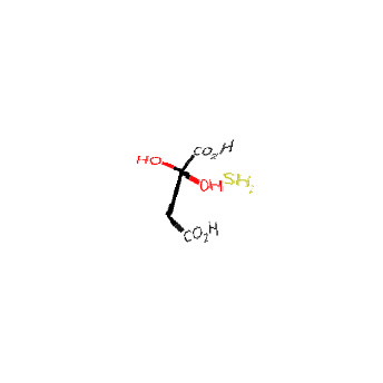 O=C(O)CC(O)(O)C(=O)O.S